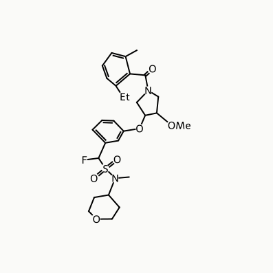 CCc1cccc(C)c1C(=O)N1CC(OC)C(Oc2cccc(C(F)S(=O)(=O)N(C)C3CCOCC3)c2)C1